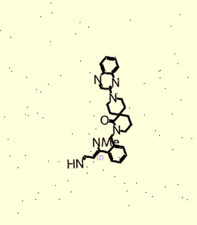 CN/C(=C\C=N)c1ccccc1CN1CCCC2(CCN(c3cnc4ccccc4n3)CC2)C1=O